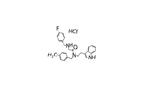 Cc1ccc(CN(CCc2c[nH]c3ccccc23)C(=O)CNCc2ccc(F)cc2)cc1.Cl